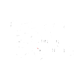 c1ccc(C2=NC(c3c(-c4ccc5c(c4)C4(c6ccccc6-c6ccccc64)c4ccccc4C54c5ccccc5-c5ccccc54)ccc4ccccc34)NC(c3ccccc3)=N2)cc1